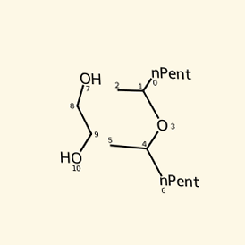 CCCCCC(C)OC(C)CCCCC.OCCO